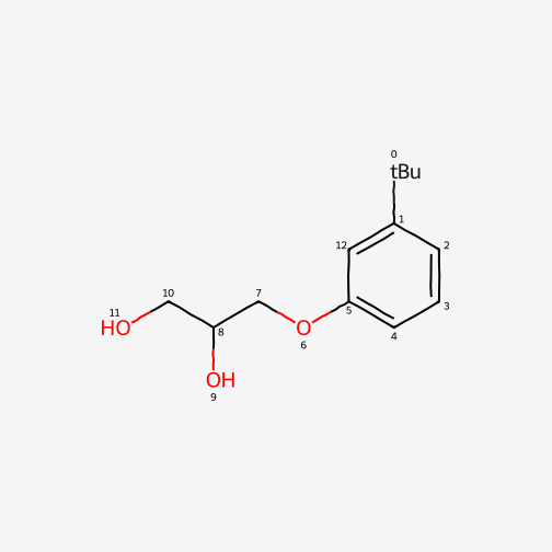 CC(C)(C)c1cccc(OCC(O)CO)c1